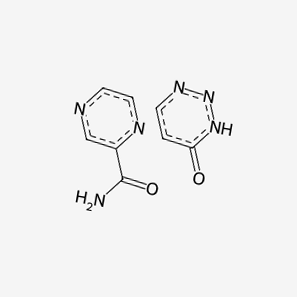 NC(=O)c1cnccn1.O=c1ccnn[nH]1